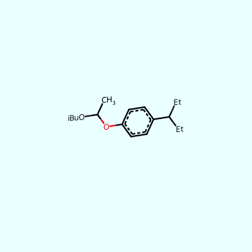 CCC(CC)c1ccc(OC(C)OCC(C)C)cc1